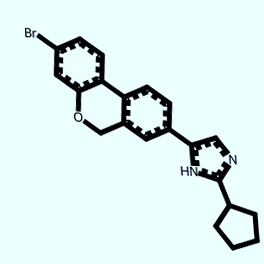 Brc1ccc2c(c1)OCc1cc(-c3cnc(C4CCCC4)[nH]3)ccc1-2